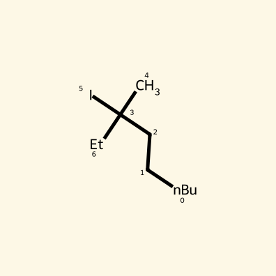 CCCCCCC(C)(I)CC